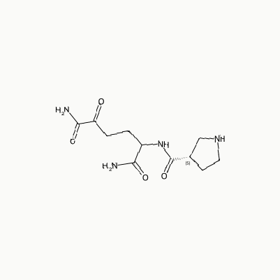 NC(=O)C(=O)CCC(NC(=O)[C@H]1CCNC1)C(N)=O